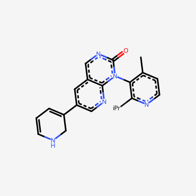 Cc1ccnc(C(C)C)c1-n1c(=O)ncc2cc(C3=CC=CNC3)cnc21